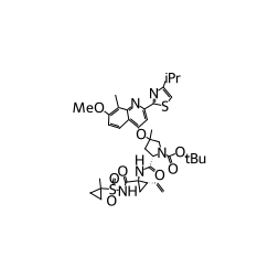 C=C[C@@H]1C[C@]1(NC(=O)[C@@H]1CC(C)(Oc2cc(-c3nc(C(C)C)cs3)nc3c(C)c(OC)ccc23)CN1C(=O)OC(C)(C)C)C(=O)NS(=O)(=O)C1(C)CC1